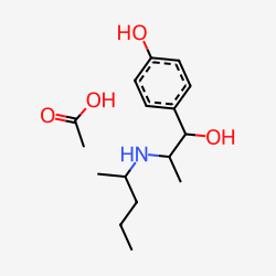 CC(=O)O.CCCC(C)NC(C)C(O)c1ccc(O)cc1